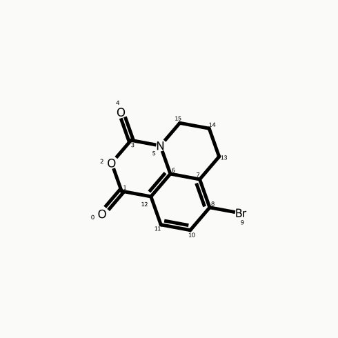 O=c1oc(=O)n2c3c(c(Br)ccc13)CCC2